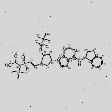 CC(C)(C)N(C(=O)O)S(=O)(=O)/C=C/[C@@H]1C[C@@H](n2ccc3c(N[C@H]4CCc5ccccc54)ncnc32)C[C@@H]1O[Si](C)(C)C(C)(C)C